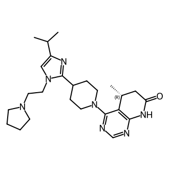 CC(C)c1cn(CCN2CCCC2)c(C2CCN(c3ncnc4c3[C@H](C)CC(=O)N4)CC2)n1